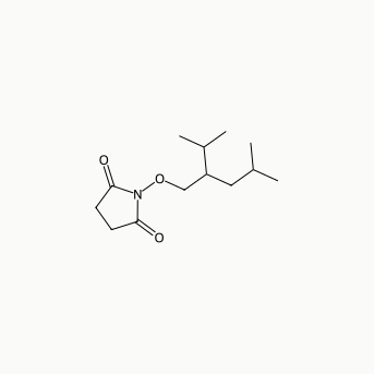 CC(C)CC(CON1C(=O)CCC1=O)C(C)C